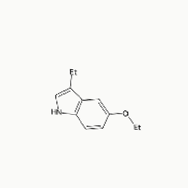 [CH2]Cc1c[nH]c2ccc(OCC)cc12